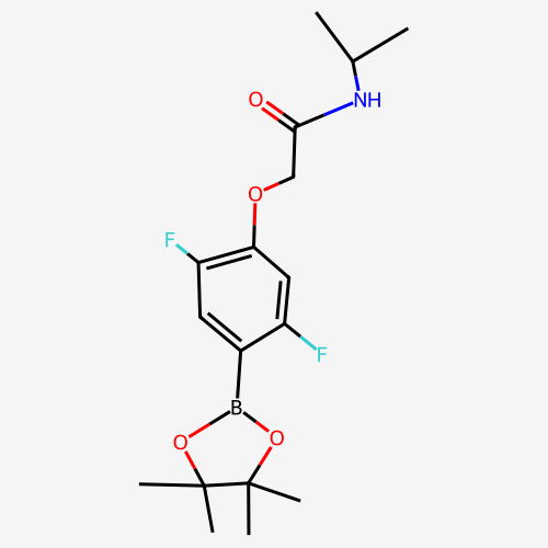 CC(C)NC(=O)COc1cc(F)c(B2OC(C)(C)C(C)(C)O2)cc1F